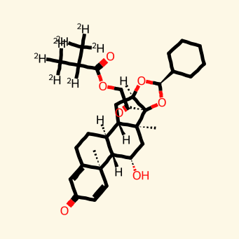 [2H]C([2H])([2H])C([2H])(C(=O)OCC(=O)[C@@]12O[C@H](C3CCCCC3)O[C@@H]1C[C@H]1[C@@H]3CCC4=CC(=O)C=C[C@]4(C)[C@H]3[C@@H](O)C[C@@]12C)C([2H])([2H])[2H]